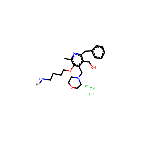 Cc1nc(Cc2ccccc2)c(CO)c(CN2CCOCC2)c1OCCCCNC(C)C.Cl.Cl.Cl